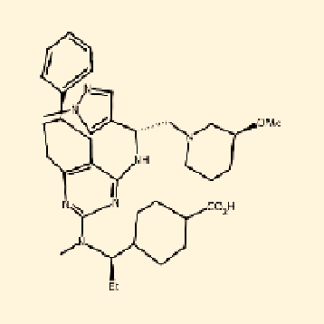 CC[C@H](C1CCC(C(=O)O)CC1)N(C)c1nc2c(c(N[C@@H](CN3CCC[C@H](OC)C3)c3cnn(C)c3)n1)C[C@H](c1ccccc1)CC2